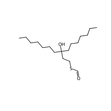 CCCCCCCC(O)(CCCCCCC)CCSC=O